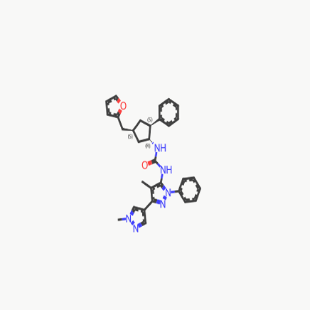 Cc1c(-c2cnn(C)c2)nn(-c2ccccc2)c1NC(=O)N[C@@H]1C[C@@H](Cc2ccco2)C[C@H]1c1ccccc1